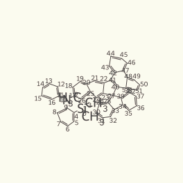 C[Si](C)(C)c1ccccc1N(c1ccccc1)c1ccc2cc3c(cc2c1)C1(c2ccccc2-c2ccccc21)c1c-3c2ccccc2c2ccccc12